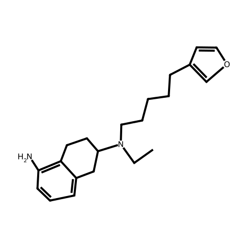 CCN(CCCCCc1ccoc1)C1CCc2c(N)cccc2C1